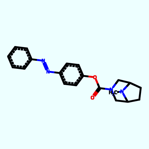 CN1C2CCC1CN(C(=O)Oc1ccc(/N=N/c3ccccc3)cc1)C2